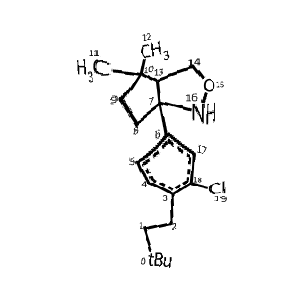 CC(C)(C)CCc1ccc(C23CCC(C)(C)C2CON3)cc1Cl